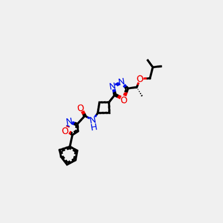 CC(C)CO[C@H](C)c1nnc(C2CC(NC(=O)c3cc(-c4ccccc4)on3)C2)o1